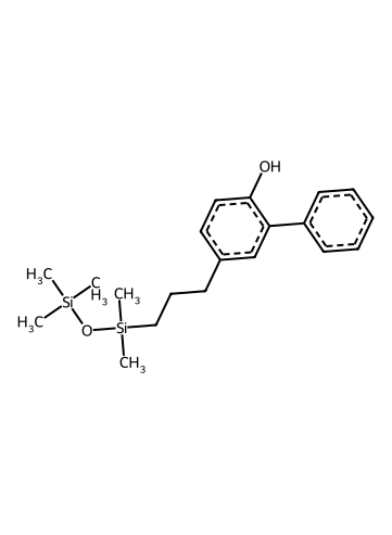 C[Si](C)(C)O[Si](C)(C)CCCc1ccc(O)c(-c2ccccc2)c1